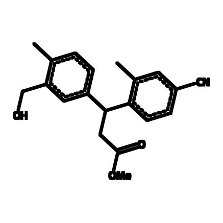 COC(=O)CC(c1ccc(C)c(CO)c1)c1ccc(C#N)cc1C